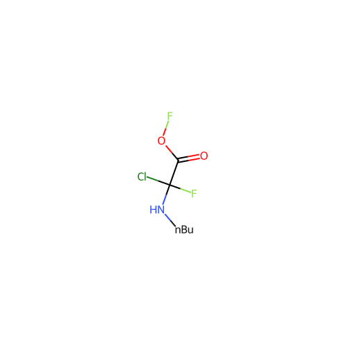 CCCCNC(F)(Cl)C(=O)OF